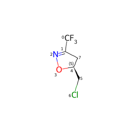 FC(F)(F)C1=NO[C@H](CCl)C1